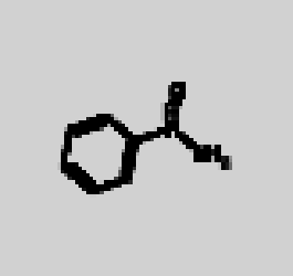 N[PH](=O)c1ccccc1